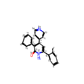 Cc1ccccc1-c1cc(-c2ccncc2)c(-c2ccccc2)c(=O)[nH]1